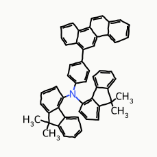 CC1(C)c2ccccc2-c2c(N(c3ccc(-c4cc5c6ccccc6ccc5c5ccccc45)cc3)c3cccc4c3-c3ccccc3C4(C)C)cccc21